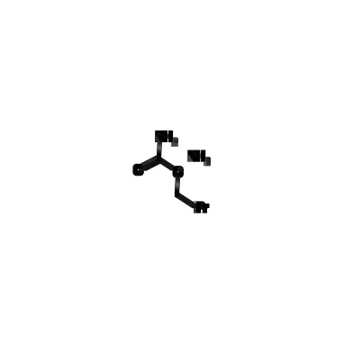 CC(C)COC(N)=O.N